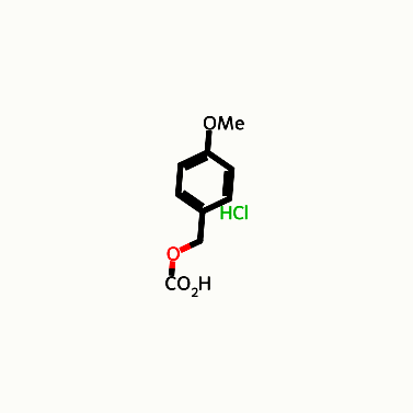 COc1ccc(COC(=O)O)cc1.Cl